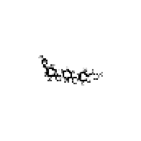 COCc1ccc(Oc2cccc(Oc3ccc(COC)cc3)c2)cc1